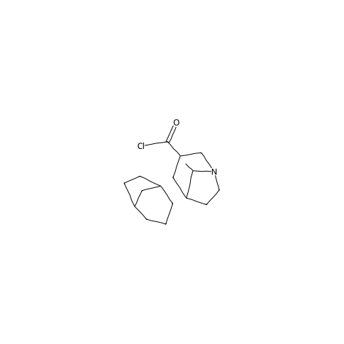 C1CC2CCC(C1)C2.CC1C2CCN1CC(C(=O)Cl)C2